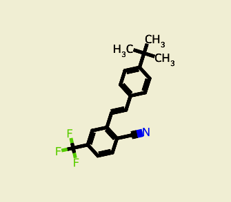 CC(C)(C)c1ccc(C=Cc2cc(C(F)(F)F)ccc2C#N)cc1